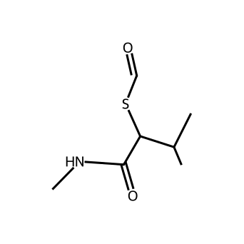 CNC(=O)C(SC=O)C(C)C